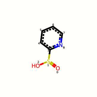 O=S(O)c1ccccn1